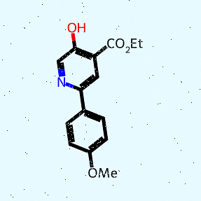 CCOC(=O)c1cc(-c2ccc(OC)cc2)ncc1O